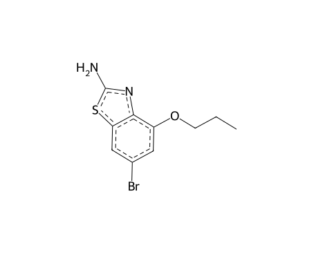 CCCOc1cc(Br)cc2sc(N)nc12